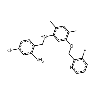 Cc1cc(I)c(OCc2ncccc2F)cc1NCc1ccc(Cl)cc1N